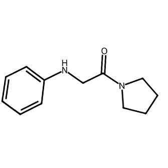 O=C(CNc1ccccc1)N1CCCC1